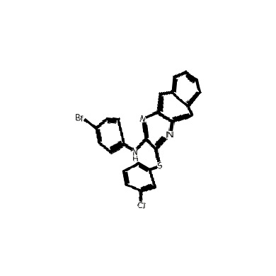 Clc1cccc(Sc2nc3cc4ccccc4cc3nc2Nc2ccc(Br)cc2)c1